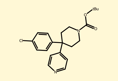 CC(C)(C)OC(=O)N1CCC(c2ccncc2)(c2ccc(Cl)cc2)CC1